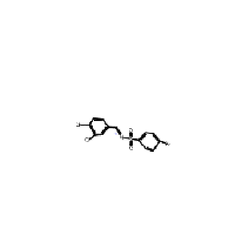 O=S(=O)(/N=C/c1ccc(Cl)c(Cl)c1)c1ccc(Br)cc1